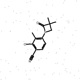 Cc1c(N2CC(C)(C)C2=O)ccc(C#N)c1Cl